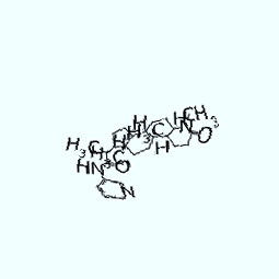 CC(C(=O)Nc1cccnc1)[C@H]1CC[C@H]2[C@@H]3CC[C@H]4N(C)C(=O)CC[C@]4(C)[C@H]3CC[C@]12C